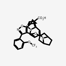 O=C(O)c1cnn2ccc(N3C4CCC3CC(OCc3c(-c5ccccc5OC(F)(F)F)noc3C3CC3)C4)cc12